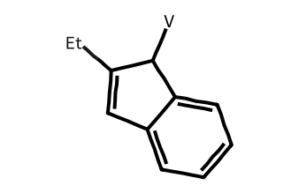 CCC1=Cc2ccccc2[CH]1[V]